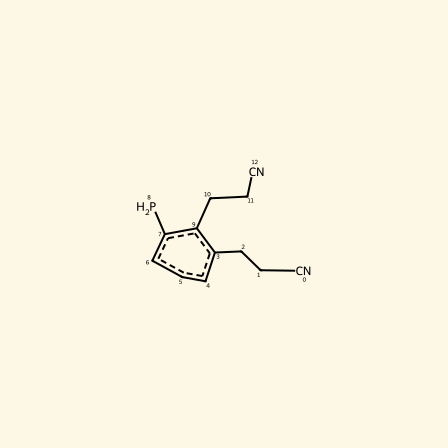 N#CCCc1cccc(P)c1CCC#N